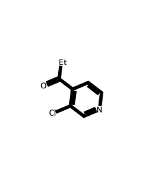 CCC(=O)c1ccncc1Cl